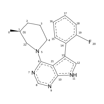 C[C@H]1CCCN(c2ncnc3[nH]cc(-c4ccccc4F)c23)C1